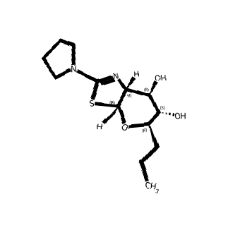 CCC[C@H]1O[C@@H]2SC(N3CCCC3)=N[C@@H]2[C@@H](O)[C@@H]1O